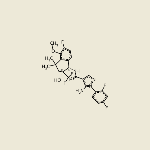 COc1c(F)ccc2c1C(C)(C)C[C@](O)(C(F)(F)F)[C@H]2NC(=O)c1cnn(-c2ccc(F)cc2F)c1N